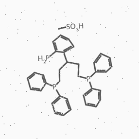 CS(=O)(=O)O.Pc1ccccc1C(CCP(c1ccccc1)c1ccccc1)CCP(c1ccccc1)c1ccccc1